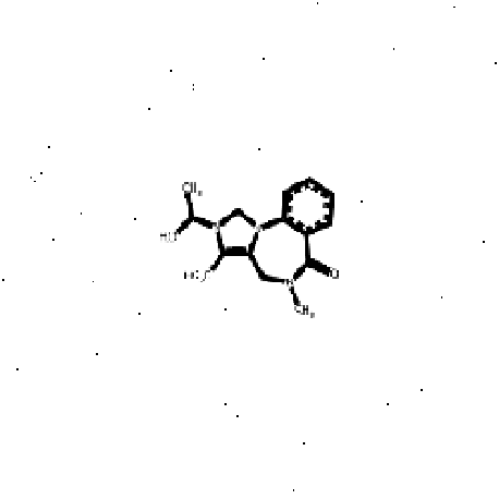 CC(O)N1CN2C(=C1C(=O)O)CN(C)C(=O)c1ccccc12